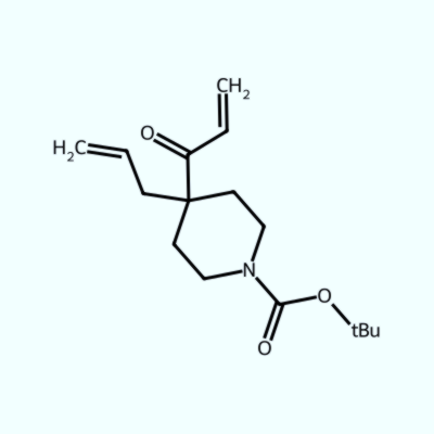 C=CCC1(C(=O)C=C)CCN(C(=O)OC(C)(C)C)CC1